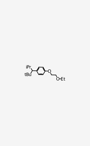 CCOCCOc1ccc(C(C(C)C)C(C)(C)C)cc1